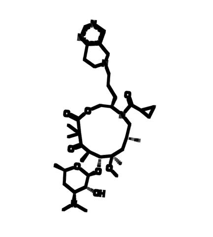 CO[C@]1(C)C[C@@H](C)CN(C(=O)C2CC2)[C@H](CCCN2CCc3ncncc3C2)COC(=O)C(C)(C)C(=O)[C@H](C)[C@H]1O[C@@H]1O[C@H](C)C[C@H](N(C)C)[C@H]1O